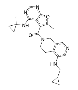 Cc1oc2ncnc(NC3(C)CC3)c2c1C(=O)N1CCc2c(cncc2NCC2CC2)C1